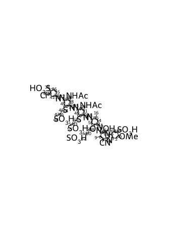 COc1cc2nc3c(C#N)c(C)c(N=Nc4cc(C)c(N=Nc5cc(NC(C)=O)c(N=Nc6cc(NC(C)=O)c(N=Nc7ccc(S(=O)(=O)O)c(Cl)c7)cc6SCCCS(=O)(=O)O)cc5SCCCS(=O)(=O)O)cc4OCCCS(=O)(=O)O)c(O)n3c2cc1S(=O)(=O)O